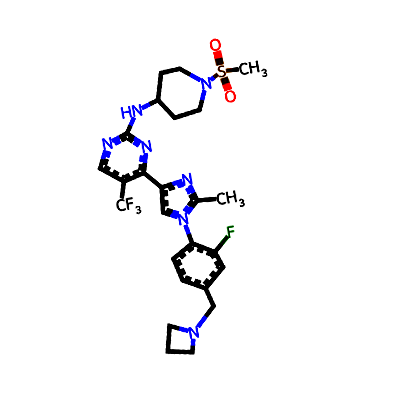 Cc1nc(-c2nc(NC3CCN(S(C)(=O)=O)CC3)ncc2C(F)(F)F)cn1-c1ccc(CN2CCC2)cc1F